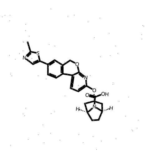 Cc1ncc(-c2ccc3c(c2)COc2nc(O[C@@H]4C[C@H]5CC[C@@H](C4)N5C(=O)O)ccc2-3)s1